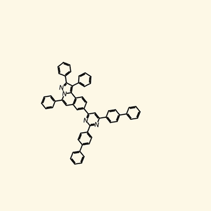 c1ccc(-c2ccc(-c3cc(-c4ccc5c(c4)cc(-c4ccccc4)n4nc(-c6ccccc6)c(-c6ccccc6)c54)nc(-c4ccc(-c5ccccc5)cc4)n3)cc2)cc1